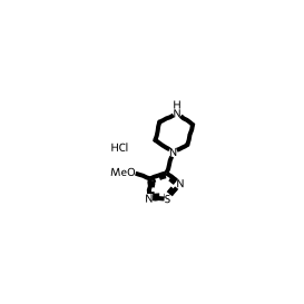 COc1nsnc1N1CCNCC1.Cl